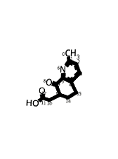 Cc1ccc2c(n1)C(=O)C(CC(=O)O)CC2